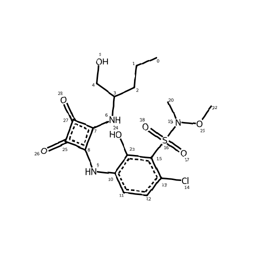 CCCC(CO)Nc1c(Nc2ccc(Cl)c(S(=O)(=O)N(C)OC)c2O)c(=O)c1=O